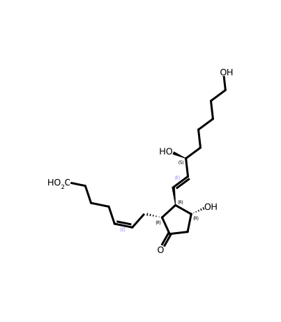 O=C(O)CCC/C=C\C[C@H]1C(=O)C[C@@H](O)[C@@H]1/C=C/[C@@H](O)CCCCCO